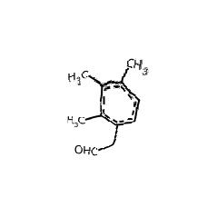 Cc1ccc(CC=O)c(C)c1C